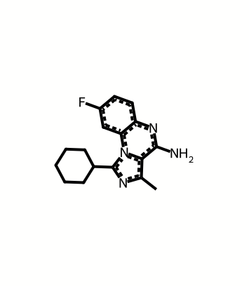 Cc1nc(C2CCCCC2)n2c1c(N)nc1ccc(F)cc12